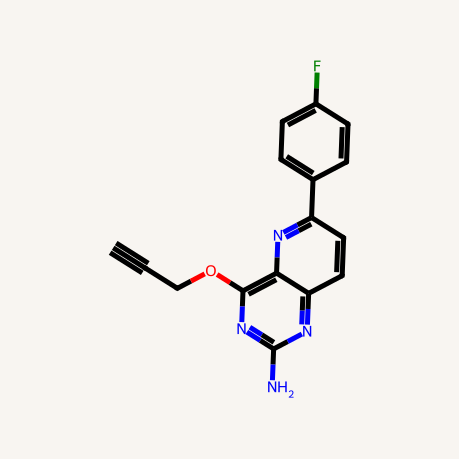 C#CCOc1nc(N)nc2ccc(-c3ccc(F)cc3)nc12